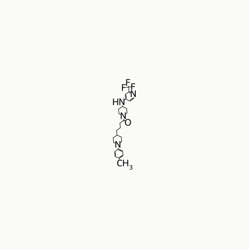 Cc1ccc(N2CCC(CCCC(=O)N3CCC(Nc4ccnc(C(F)(F)F)c4)CC3)CC2)cc1